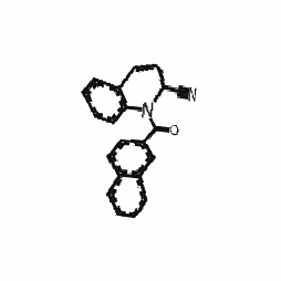 N#CC1C=Cc2ccccc2N1C(=O)c1ccc2ccccc2c1